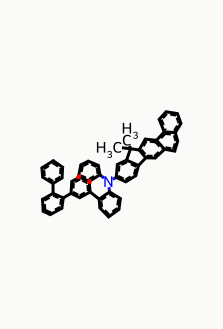 CC1(C)c2cc(N(c3ccccc3)c3ccccc3-c3cccc(-c4ccccc4-c4ccccc4)c3)ccc2-c2cc3ccc4ccccc4c3cc21